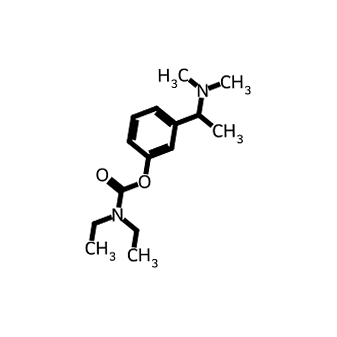 CCN(CC)C(=O)Oc1cccc(C(C)N(C)C)c1